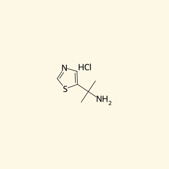 CC(C)(N)c1cncs1.Cl